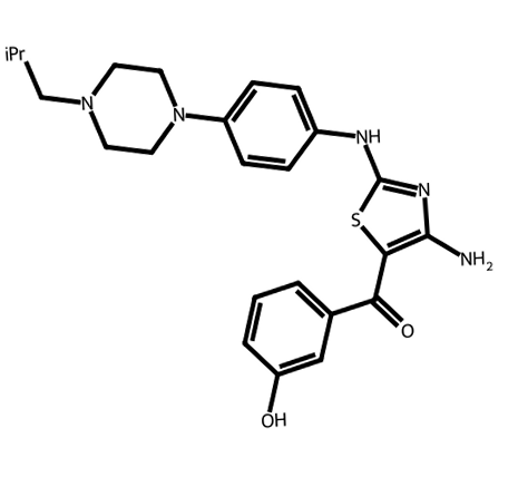 CC(C)CN1CCN(c2ccc(Nc3nc(N)c(C(=O)c4cccc(O)c4)s3)cc2)CC1